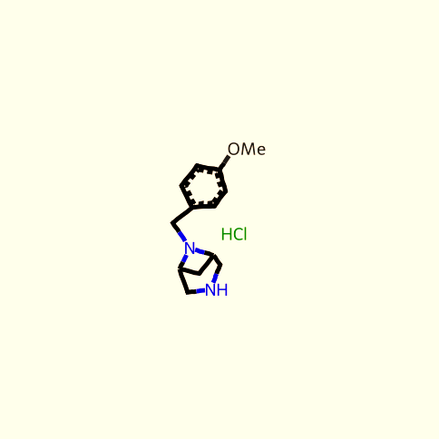 COc1ccc(CN2C3CNCC2C3)cc1.Cl